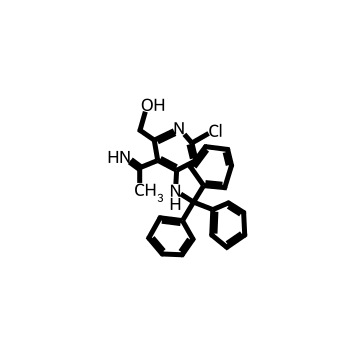 CC(=N)c1c(NC(c2ccccc2)(c2ccccc2)c2ccccc2)cc(Cl)nc1CO